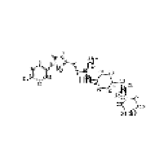 Cc1ccc(-c2ccc(C=CC(=O)NC3CCC(C[N+](C)(C)C4CCOCC4)CC3)s2)cc1.[I-]